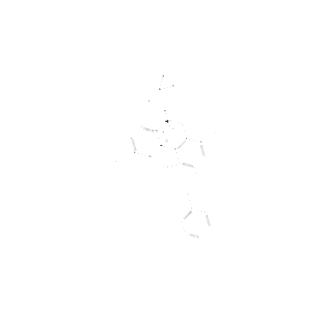 COC1=CC=C2[C@@H]3Cc4c(Br)cc(OCc5ccccc5)c5c4[C@]2(CCN3CC2CC2)C1O5